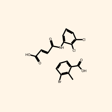 Cc1c(Br)cccc1C(=O)O.O=C(O)C=CC(=O)Nc1cccc(Cl)c1Cl